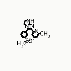 Cc1cccc(-c2nc3n(c2-c2cccc([S+](C)[O-])c2)CCN3)n1